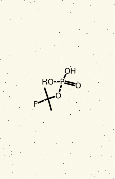 CC(C)(F)OP(=O)(O)O